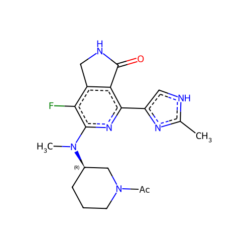 CC(=O)N1CCC[C@@H](N(C)c2nc(-c3c[nH]c(C)n3)c3c(c2F)CNC3=O)C1